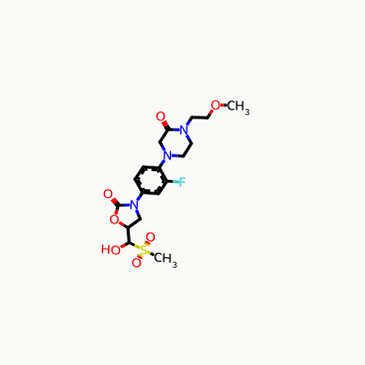 COCCN1CCN(c2ccc(N3CC(C(O)S(C)(=O)=O)OC3=O)cc2F)CC1=O